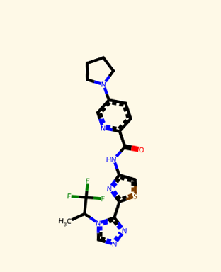 CC(n1cnnc1-c1nc(NC(=O)c2ccc(N3CCCC3)cn2)cs1)C(F)(F)F